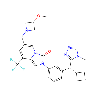 COC1CN(Cc2cc(C(F)(F)F)c3cn(-c4cccc([C@H](c5nncn5C)C5CCC5)c4)c(=O)n3c2)C1